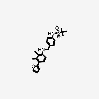 Cc1c(NCc2ccc(NS(=O)(=O)C(C)(C)C)cc2)ccc(-c2ccco2)c1C